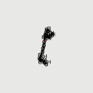 O=C1CCC(N2Cc3c(NC(=O)CCOCCOCCOCCOCCNC(=O)C4(Cc5cccc(Nc6nccs6)n5)CCC(Oc5cccc(Cl)c5F)CC4)cccc3C2=O)C(=O)N1